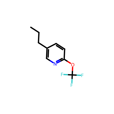 CCCc1ccc(OC(F)(F)F)nc1